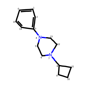 c1ccc(N2CCN(C3CCC3)CC2)cc1